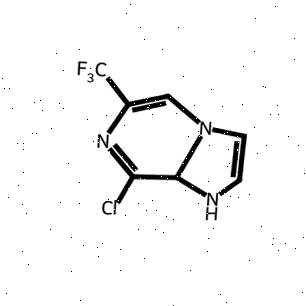 FC(F)(F)C1=CN2C=CNC2C(Cl)=N1